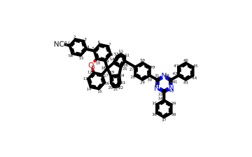 N#Cc1ccc(-c2cccc3c2Oc2ccccc2C32c3ccccc3-c3c(-c4ccc(-c5nc(-c6ccccc6)nc(-c6ccccc6)n5)cc4)cccc32)cc1